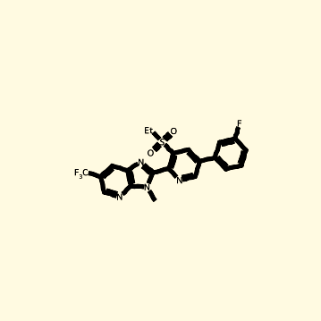 CCS(=O)(=O)c1cc(-c2cccc(F)c2)cnc1-c1nc2cc(C(F)(F)F)cnc2n1C